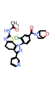 CC(=O)Nc1nc2c(s1)-c1c(c(-c3cccnc3)nn1-c1ccc(C(=O)N3CC4CC3CO4)cc1Cl)CC2